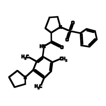 Cc1cc(C)c(N2CCCC2)c(C)c1NC(=O)C1CCCN1S(=O)(=O)c1ccccc1